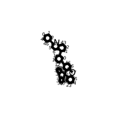 c1ccc(-c2ccc3c(-c4cccc(-c5ccc6c(c5)C5(c7ccccc7O6)c6ccccc6-c6ccccc65)c4)cccc3n2)cc1